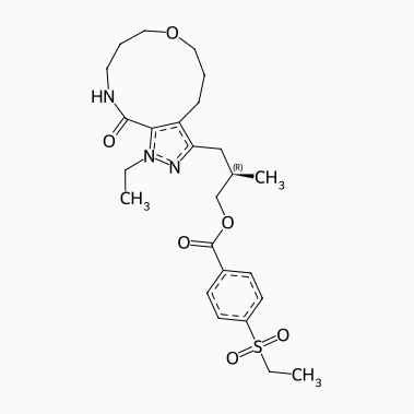 CCn1nc(C[C@@H](C)COC(=O)c2ccc(S(=O)(=O)CC)cc2)c2c1C(=O)NCCCOCCC2